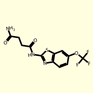 NC(=O)CCC(=O)Nc1nc2ccc(OC(F)(F)F)cc2s1